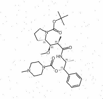 CO[C@H]([C@@H](C)C(=O)N[C@H](C)[C@@H](OC(=O)N1CCN(C)CC1)c1ccccc1)[C@@H]1CCCN1C(=O)OC(C)(C)C